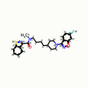 CN(CCCCC1CCN(c2noc3cc(F)ccc23)CC1)C(=O)c1nsc2ccccc12